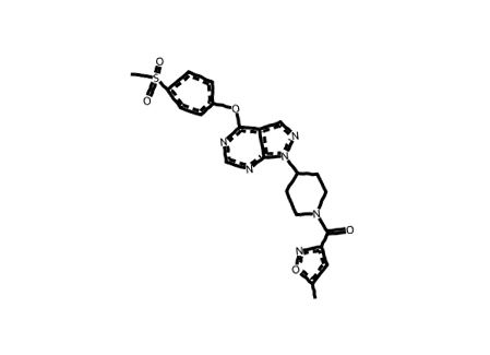 Cc1cc(C(=O)N2CCC(n3ncc4c(Oc5ccc(S(C)(=O)=O)cc5)ncnc43)CC2)no1